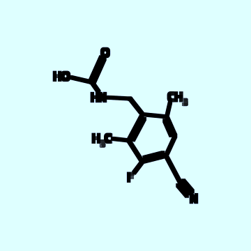 Cc1cc(C#N)c(F)c(C)c1CNC(=O)O